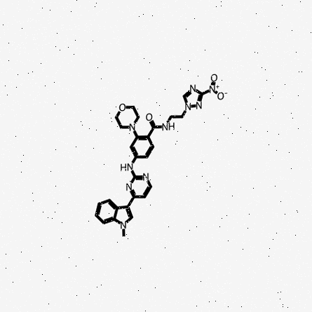 Cn1cc(-c2ccnc(Nc3ccc(C(=O)NCCn4cnc([N+](=O)[O-])n4)c(N4CCOCC4)c3)n2)c2ccccc21